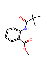 COC(=O)c1ccccc1NC(=O)C(C)(C)C